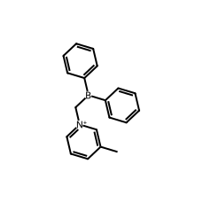 Cc1ccc[n+](CB(c2ccccc2)c2ccccc2)c1